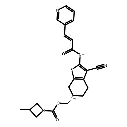 CC1CN(C(=O)OC[C@H]2CCc3c(sc(NC(=O)/C=C/c4cccnc4)c3C#N)C2)C1